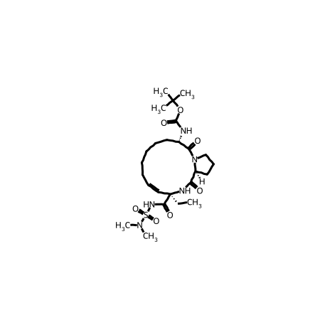 CC[C@]1(C(=O)NS(=O)(=O)N(C)C)/C=C\CCCCC[C@H](NC(=O)OC(C)(C)C)C(=O)N2CCC[C@H]2C(=O)N1